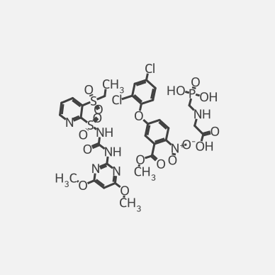 CCS(=O)(=O)c1cccnc1S(=O)(=O)NC(=O)Nc1nc(OC)cc(OC)n1.COC(=O)c1cc(Oc2ccc(Cl)cc2Cl)ccc1[N+](=O)[O-].O=C(O)CNCP(=O)(O)O